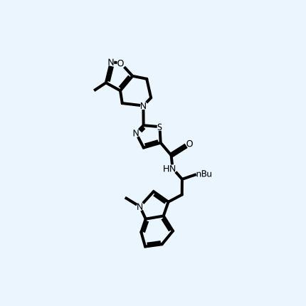 CCCCC(Cc1cn(C)c2ccccc12)NC(=O)c1cnc(N2CCc3onc(C)c3C2)s1